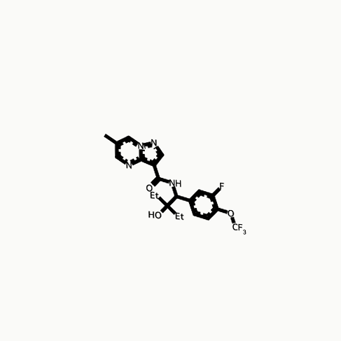 CCC(O)(CC)C(NC(=O)c1cnn2cc(C)cnc12)c1ccc(OC(F)(F)F)c(F)c1